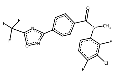 CN(C(=O)c1ccc(-c2noc(C(F)(F)F)n2)cc1)c1ccc(F)c(Cl)c1F